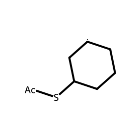 CC(=O)SC1C[CH]CCC1